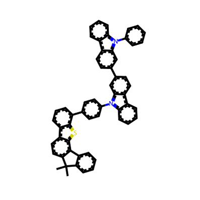 CC1(C)c2ccccc2-c2c1ccc1c2sc2c(-c3ccc(-n4c5ccccc5c5ccc(-c6ccc7c8ccccc8n(-c8ccccc8)c7c6)cc54)cc3)cccc21